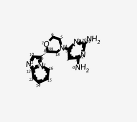 Nc1cc(N2CCO[C@@H](c3cnc4ccccn34)C2)nc(N)n1